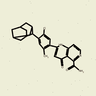 Cc1cc(C2C3CC4CC(C3)CC2C4)c(Cl)cc1-c1cc(=O)c2c(C(N)=O)nccc2[nH]1